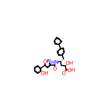 O=C(N[C@H](Cc1ccc(-c2ccccc2)cc1)CC(O)C(=O)O)c1cc(-c2ccccc2O)on1